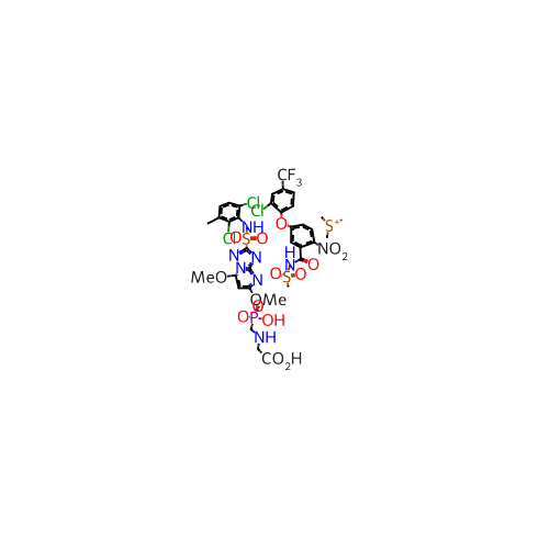 COc1cc(OC)n2nc(S(=O)(=O)Nc3c(Cl)ccc(C)c3Cl)nc2n1.CS(=O)(=O)NC(=O)c1cc(Oc2ccc(C(F)(F)F)cc2Cl)ccc1[N+](=O)[O-].C[S+](C)C.O=C(O)CNCP(=O)([O-])O